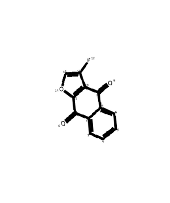 O=C1c2ccccc2C(=O)c2c(F)coc21